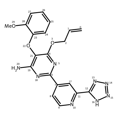 C=CCOc1nc(-c2ccnc(-c3nnn[nH]3)c2)nc(N)c1Oc1ccccc1OC